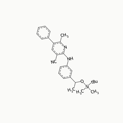 Cc1nc(Nc2cccc(C(C)O[Si](C)(C)C(C)(C)C)c2)c(C#N)cc1-c1ccccc1